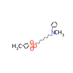 Cc1ccc(S(=O)(=O)OCCCCCCCCN(C)Cc2ccccc2)cc1